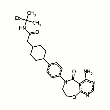 CCC(C)(C)NC(=O)CC1CCC(c2ccc(N3CCOc4ncnc(N)c4C3=O)cc2)CC1